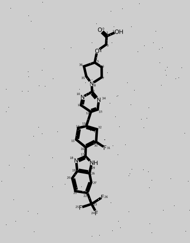 O=C(O)COC1CCN(c2ncc(-c3ccc(-c4nc5ccc(C(F)(F)F)cc5[nH]4)c(F)c3)cn2)CC1